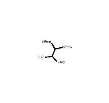 CCCCCCCCC(CCCCCC)[C](CCCCC)CCCCC